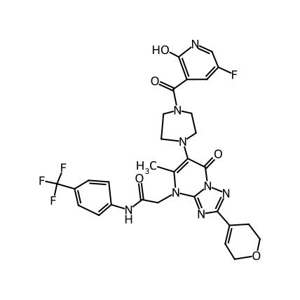 Cc1c(N2CCN(C(=O)c3cc(F)cnc3O)CC2)c(=O)n2nc(C3=CCOCC3)nc2n1CC(=O)Nc1ccc(C(F)(F)F)cc1